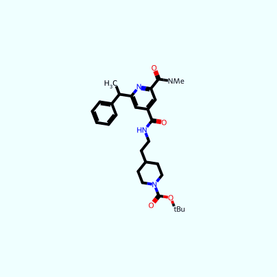 CNC(=O)c1cc(C(=O)NCCC2CCN(C(=O)OC(C)(C)C)CC2)cc(C(C)c2ccccc2)n1